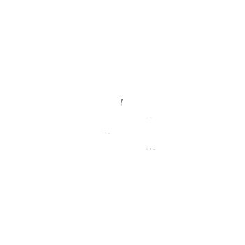 CC[C@H](C(=O)OC)[C@H](Br)C(=O)OC